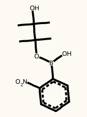 CC(C)(O)C(C)(C)OB(O)c1ccccc1[N+](=O)[O-]